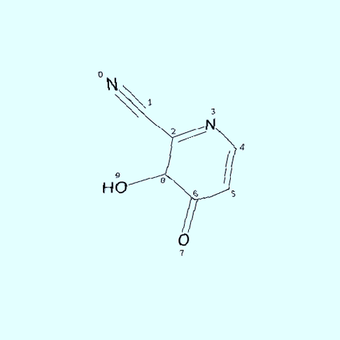 N#CC1=NC=CC(=O)C1O